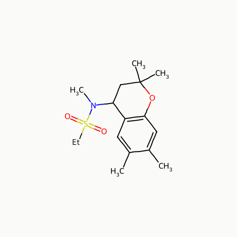 CCS(=O)(=O)N(C)C1CC(C)(C)Oc2cc(C)c(C)cc21